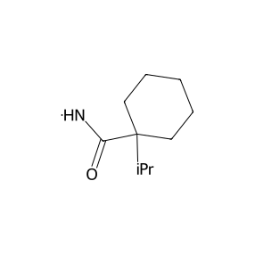 CC(C)C1(C([NH])=O)CCCCC1